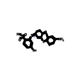 Nc1ccc2sc3c/c(=N\c4cc(S)ccc4S(=O)(=O)O)ccc-3nc2c1